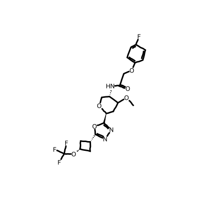 COC1C[C@@H](c2nnc([C@H]3C[C@@H](OC(F)(F)F)C3)o2)OC[C@@H]1NC(=O)COc1ccc(F)cc1